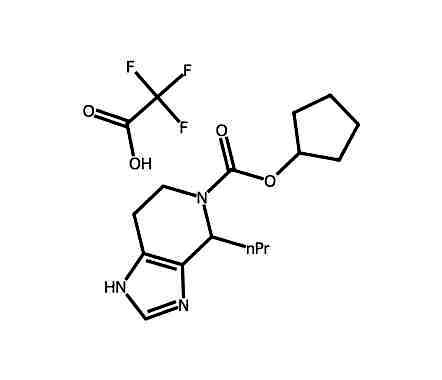 CCCC1c2nc[nH]c2CCN1C(=O)OC1CCCC1.O=C(O)C(F)(F)F